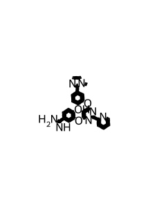 CN1CCN=C1c1cccc(Oc2cc(Oc3cc(C(=N)N)ccc3O)nc(-c3ccccn3)n2)c1